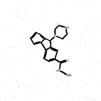 CCCCNC(=O)c1ccc2c(c1)C(N1CCNCC1)c1ccccc1-2